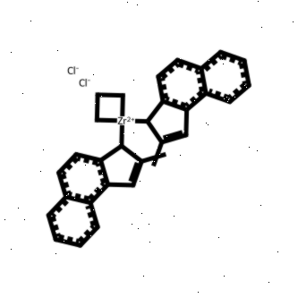 CC1=Cc2c(ccc3ccccc23)[CH]1[Zr+2]1([CH]2C(C)=Cc3c2ccc2ccccc32)[CH2]C[CH2]1.[Cl-].[Cl-]